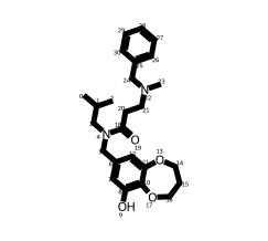 CC(C)CN(Cc1cc(O)c2c(c1)OCCCO2)C(=O)CCN(C)Cc1ccccc1